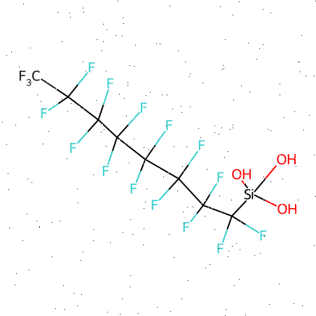 O[Si](O)(O)C(F)(F)C(F)(F)C(F)(F)C(F)(F)C(F)(F)C(F)(F)C(F)(F)C(F)(F)F